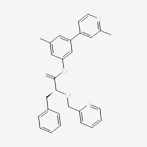 Cc1cc(-c2cc(Cl)cc(NC(=O)[C@H](Cc3ccccc3)NCc3ccccn3)c2)ccn1